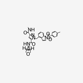 CNC(=O)c1cc(C(=O)N[C@H]2[C@@H]3COC[C@@H]32)n(Cc2cccc3c2ccn3S(=O)(=O)c2ccc(C)cc2)n1